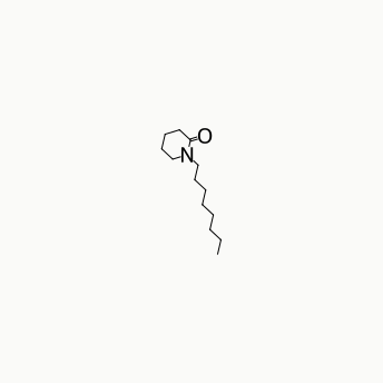 CCCCCCCCN1CCCCC1=O